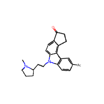 CC(=O)c1ccc2c(c1)c1c3c(ccc1n2CCC1CCCN1C)C(=O)CC3